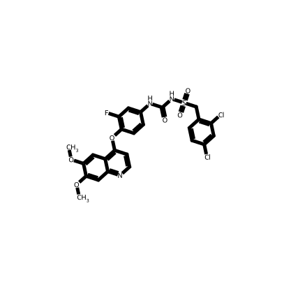 COc1cc2nccc(Oc3ccc(NC(=O)NS(=O)(=O)Cc4ccc(Cl)cc4Cl)cc3F)c2cc1OC